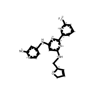 N#Cc1cc(Nc2cc(NCC3C=CCO3)nc(-c3cccc(C(F)(F)F)n3)n2)ccn1